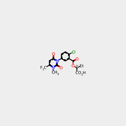 CC[C@H](OC(=O)c1cc(-n2c(=O)cc(C(F)(F)F)n(C)c2=O)ccc1Cl)C(=O)O